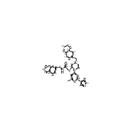 Cc1cc(N2CCN(Cc3ccc4c(c3)OCCO4)CC2CC(=O)NCc2ccc3c(c2)OCO3)nc(-n2ccnc2)n1